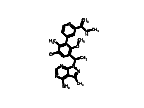 C=C(NC)c1cc(-c2c(C)c(Cl)cc(C(C)n3nc(C)c4c(N)ncnc43)c2OC)ccn1